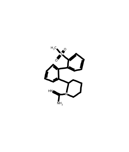 CS(=O)(=O)c1ccccc1-c1ccccc1C1CCCCN1C(=N)N